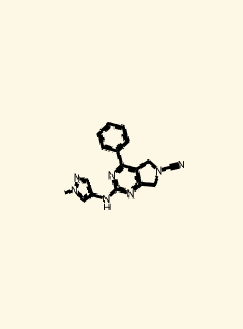 Cn1cc(Nc2nc3c(c(-c4ccccc4)n2)CN(C#N)C3)cn1